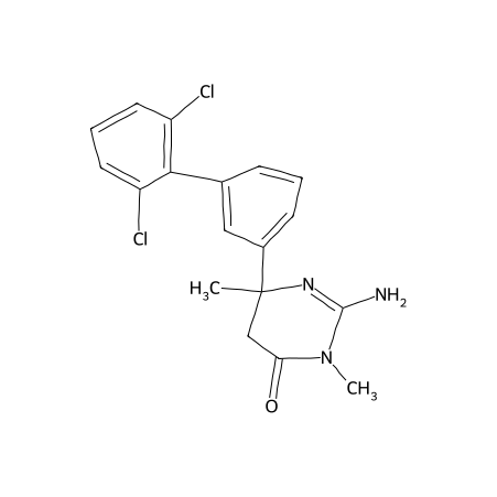 CN1C(=O)CC(C)(c2cccc(-c3c(Cl)cccc3Cl)c2)N=C1N